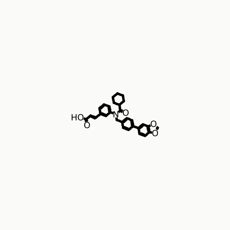 O=C(O)C=Cc1cccc(N(Cc2ccc(-c3ccc4c(c3)OCO4)cc2)C(=O)C2CCCCC2)c1